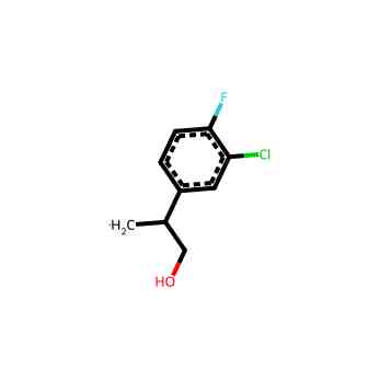 [CH2]C(CO)c1ccc(F)c(Cl)c1